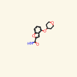 [NH]C(=O)c1cc2c(OC3CCOCC3)cccc2o1